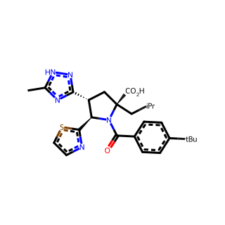 Cc1nc([C@@H]2C[C@@](CC(C)C)(C(=O)O)N(C(=O)c3ccc(C(C)(C)C)cc3)[C@H]2c2nccs2)n[nH]1